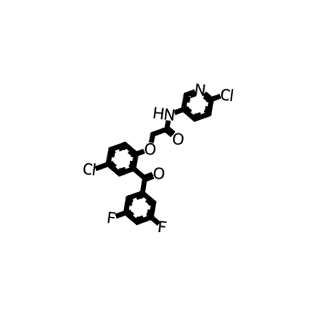 O=C(COc1ccc(Cl)cc1C(=O)c1cc(F)cc(F)c1)Nc1ccc(Cl)nc1